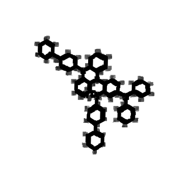 CN(c1ccc(C2=CCCC=C2)cc1)c1cc(N(c2ccccc2)c2ccccc2)ccc1B1c2ccccc2N(c2ccc(-c3ccccc3)cc2)c2ccccc21